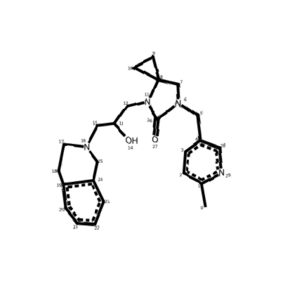 Cc1ccc(CN2CC3(CC3)N(CC(O)CN3CCc4ccccc4C3)C2=O)cn1